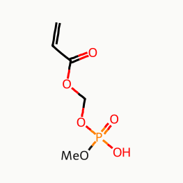 C=CC(=O)OCOP(=O)(O)OC